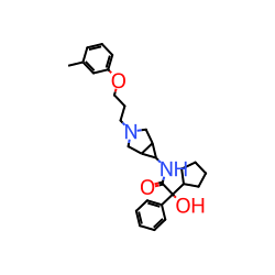 Cc1cccc(OCCCN2CC3C(C2)C3NC(=O)C(O)(c2ccccc2)C2CCCC2)c1